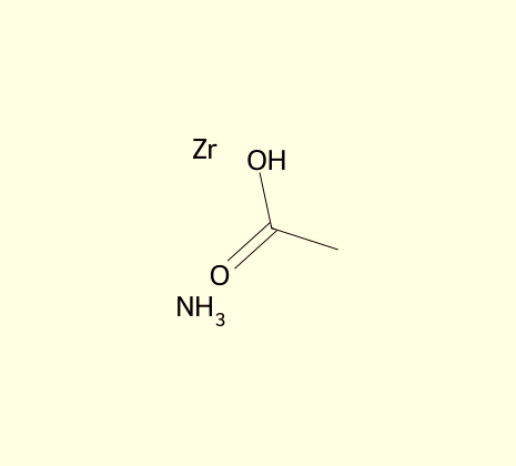 CC(=O)O.N.[Zr]